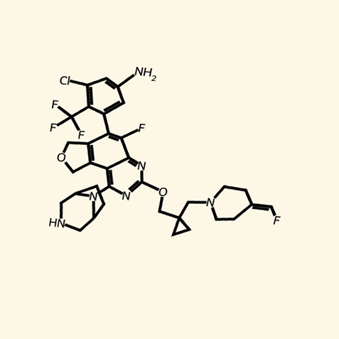 Nc1cc(Cl)c(C(F)(F)F)c(-c2c3c(c4c(N5C6CCC5CNC6)nc(OCC5(CN6CCC(=CF)CC6)CC5)nc4c2F)COC3)c1